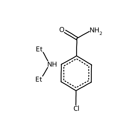 CCNCC.NC(=O)c1ccc(Cl)cc1